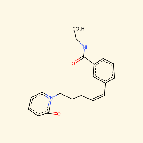 O=C(O)CNC(=O)c1cccc(/C=C\CCCn2ccccc2=O)c1